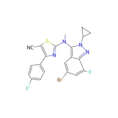 CN(c1nc(-c2ccc(F)cc2)c(C#N)s1)c1c2cc(Br)cc(F)c2nn1C1CC1